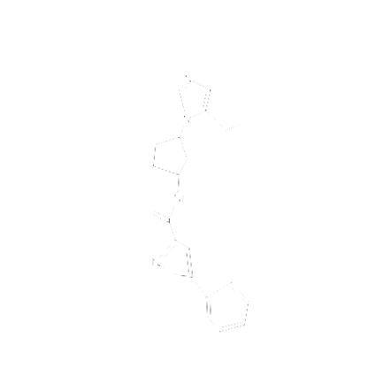 O=C(NC1CCC(n2cncc2CO)C1)c1cc(-c2ccccc2)on1